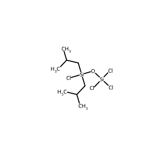 CC(C)C[Si](Cl)(CC(C)C)O[Si](Cl)(Cl)Cl